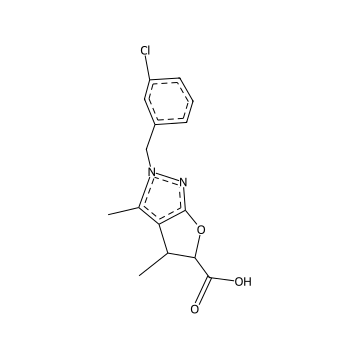 Cc1c2c(nn1Cc1cccc(Cl)c1)OC(C(=O)O)C2C